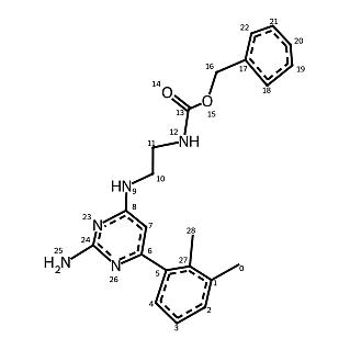 Cc1cccc(-c2cc(NCCNC(=O)OCc3ccccc3)nc(N)n2)c1C